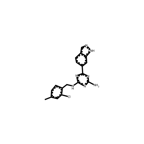 Cc1ccc(CNc2nc(N)nc(-c3ccc4cn[nH]c4c3)n2)c(Cl)c1